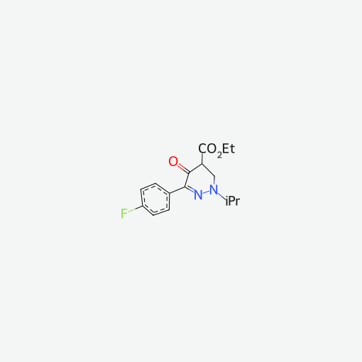 CCOC(=O)C1CN(C(C)C)N=C(c2ccc(F)cc2)C1=O